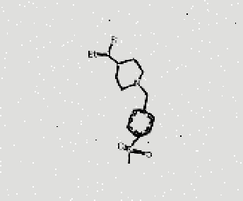 CCC(CC)C1CCN(Cc2ccc(S(C)(=O)=O)cc2)CC1